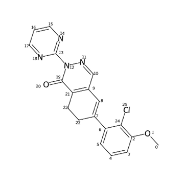 COc1cccc(C2=Cc3cnn(-c4ncccn4)c(=O)c3CC2)c1Cl